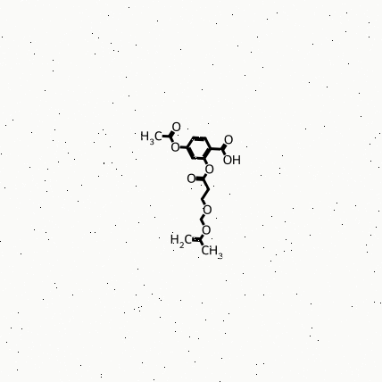 C=C(C)OCOCCC(=O)Oc1cc(OC(C)=O)ccc1C(=O)O